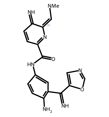 CN/C=C1/N=C(C(=O)Nc2ccc(N)c(C(=N)c3cnco3)c2)C=CC1=N